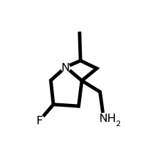 CC1CC2(CN)CC(F)CN12